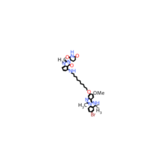 COc1cc2c(NC(C)c3cccc(Br)c3)nc(C)nc2cc1OCCCCCCCCCCCNc1cccc2nc(C)n(C3CCC(=O)NC3=O)c(=O)c12